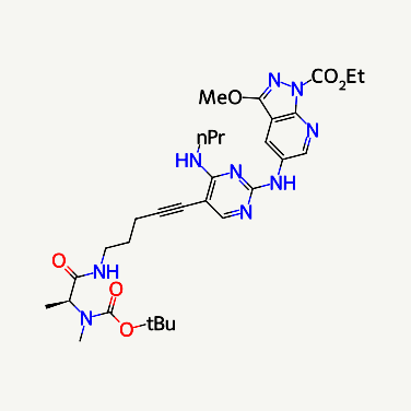 CCCNc1nc(Nc2cnc3c(c2)c(OC)nn3C(=O)OCC)ncc1C#CCCCNC(=O)[C@H](C)N(C)C(=O)OC(C)(C)C